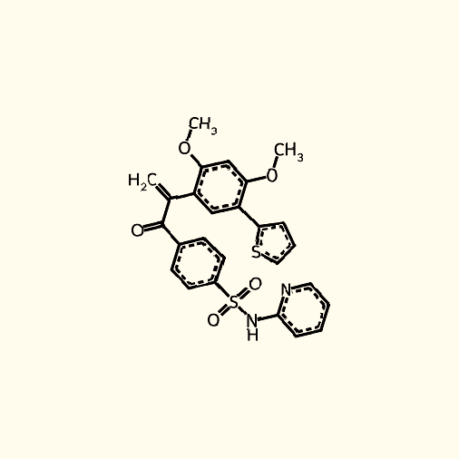 C=C(C(=O)c1ccc(S(=O)(=O)Nc2ccccn2)cc1)c1cc(-c2cccs2)c(OC)cc1OC